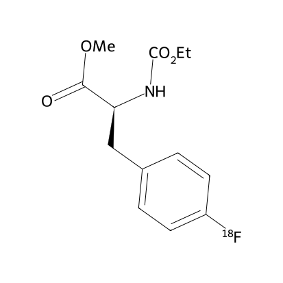 CCOC(=O)N[C@@H](Cc1ccc([18F])cc1)C(=O)OC